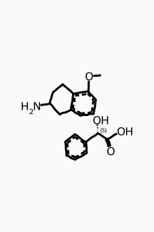 COc1cccc2c1CCC(N)C2.O=C(O)[C@@H](O)c1ccccc1